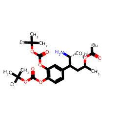 CCC(C)C(=O)OC(C)CC(c1ccc(OC(=O)OC(C)(C)CC)c(OC(=O)OC(C)(C)CC)c1)[C@H](N)C(=O)O